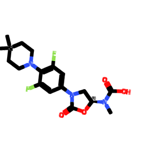 CN(C(=O)O)[C@@H]1CN(c2cc(F)c(N3CC[Si](C)(C)CC3)c(F)c2)C(=O)O1